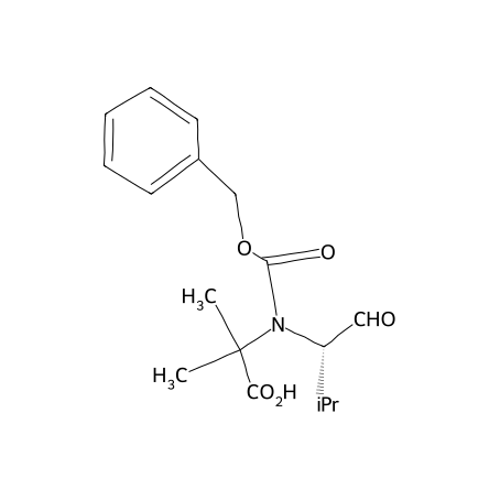 CC(C)[C@@H](C=O)N(C(=O)OCc1ccccc1)C(C)(C)C(=O)O